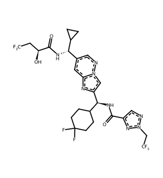 O=C(N[C@H](c1cn2ncc([C@H](NC(=O)[C@@H](O)CC(F)(F)F)C3CC3)cc2n1)C1CCC(F)(F)CC1)c1cnn(CC(F)(F)F)n1